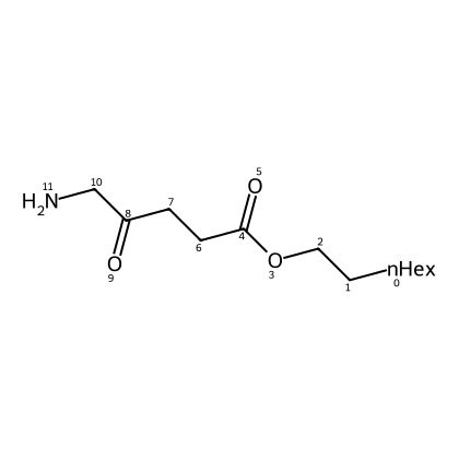 CCCCCCCCOC(=O)CCC(=O)CN